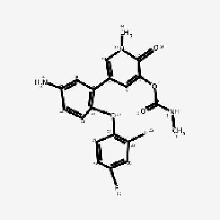 CNC(=O)Oc1cc(-c2cc(N)ccc2Oc2ccc(F)cc2F)cn(C)c1=O